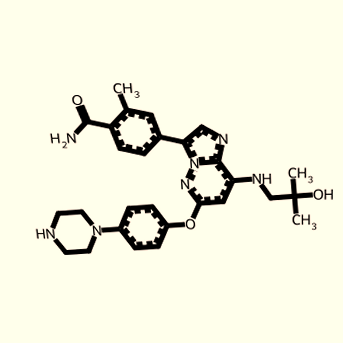 Cc1cc(-c2cnc3c(NCC(C)(C)O)cc(Oc4ccc(N5CCNCC5)cc4)nn23)ccc1C(N)=O